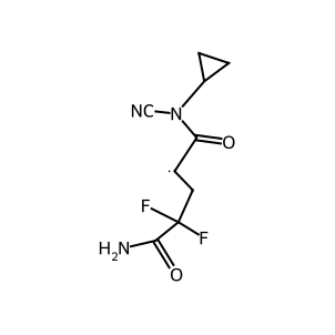 N#CN(C(=O)[CH]CC(F)(F)C(N)=O)C1CC1